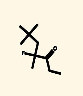 CCC(=O)C(C)(F)CC(C)(C)C